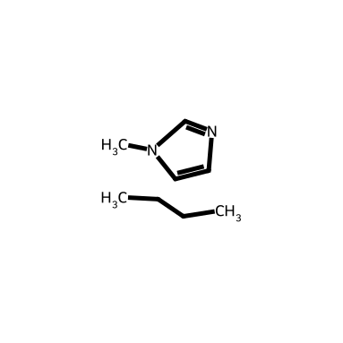 CCCC.Cn1ccnc1